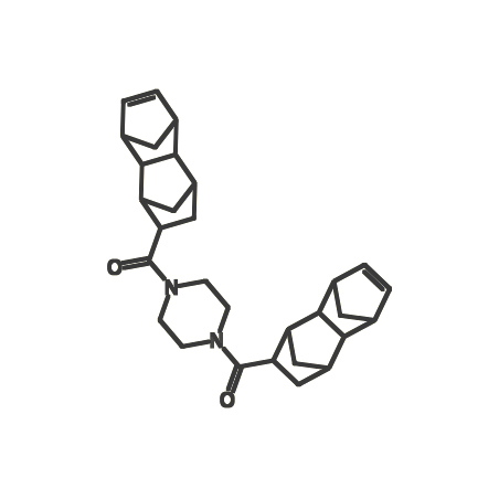 O=C(C1CC2CC1C1C3C=CC(C3)C21)N1CCN(C(=O)C2CC3CC2C2C4C=CC(C4)C32)CC1